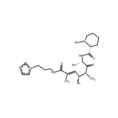 C/C(=C\[C@H](C(C)C)N(C)C(=O)[C@@H](NC(=O)[C@H]1CCCCN1C(C)C)C(C)C)C(=O)NCCCn1ccnc1